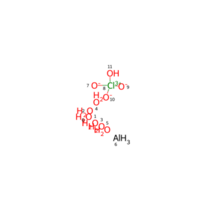 O.O.O.O.O.O.[AlH3].[O-][Cl+3]([O-])([O-])O